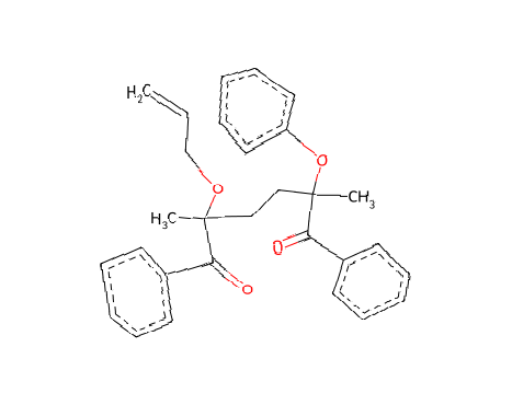 C=CCOC(C)(CCC(C)(Oc1ccccc1)C(=O)c1ccccc1)C(=O)c1ccccc1